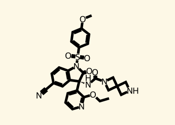 CCOc1ncccc1[C@]1(NC(=O)N2CC3(CNC3)C2)C(=O)N(S(=O)(=O)c2ccc(OC)cc2)c2ccc(C#N)cc21